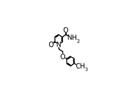 Cc1ccc(OCCn2cc(C(N)=O)ccc2=O)cc1